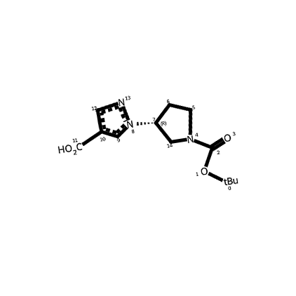 CC(C)(C)OC(=O)N1CC[C@@H](n2cc(C(=O)O)cn2)C1